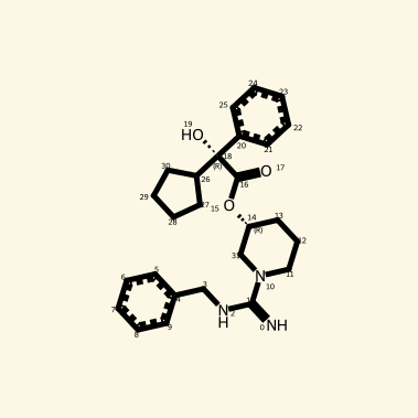 N=C(NCc1ccccc1)N1CCC[C@@H](OC(=O)[C@](O)(c2ccccc2)C2CCCC2)C1